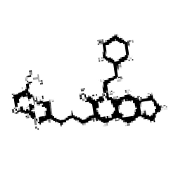 Cc1csc2nc(CCCc3cc4cc5c(cc4n(CCC4CCCCC4)c3=O)CCC5)cn12